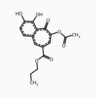 CCCOC(=O)c1cc(OC(C)=O)c(=O)c2c(O)c(O)ccc2c1